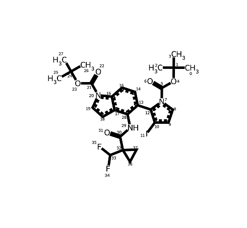 CC(C)(C)OC(=O)n1ccc(I)c1-c1ccc2c(ccn2C(=O)OC(C)(C)C)c1NC(=O)C1(C(F)F)CC1